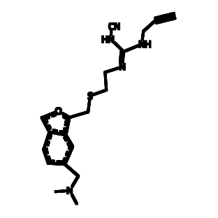 C#CCNC(=NCCSCc1occ2ccc(CN(C)C)cc12)NC#N